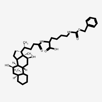 C[C@H](CCC(=O)NC(CCCCNC(=O)OCc1ccccc1)C(=O)O)[C@H]1CCC2[C@@H]3[C@H](O)C[C@@H]4CCCC[C@]4(C)[C@H]3C[C@H](O)[C@@]21C